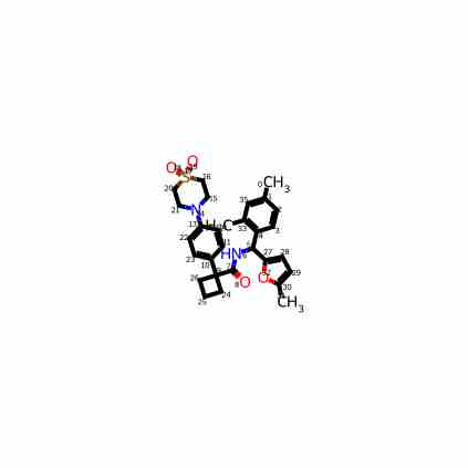 Cc1ccc(C(NC(=O)C2(c3ccc(N4CCS(=O)(=O)CC4)cc3)CCC2)c2ccc(C)o2)c(C)c1